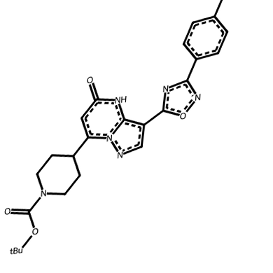 CC(C)(C)OC(=O)N1CCC(c2cc(=O)[nH]c3c(-c4nc(-c5ccc(OC(F)(F)F)cc5)no4)cnn23)CC1